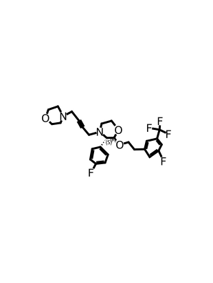 Fc1ccc([C@H]2[C@H](OCCc3cc(F)cc(C(F)(F)F)c3)OCCN2CC#CCN2CCOCC2)cc1